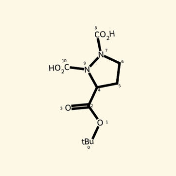 CC(C)(C)OC(=O)C1CCN(C(=O)O)N1C(=O)O